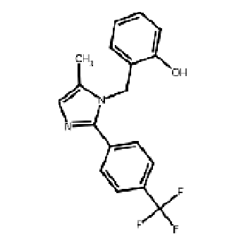 Cc1cnc(-c2ccc(C(F)(F)F)cc2)n1Cc1ccccc1O